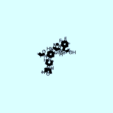 C=CC(=O)Nc1cc(Nc2cc(N[C@H](CCO)c3ccc(F)c(F)c3)ncn2)c(OC)cc1N1CCC(N2C[C@H]3C[C@@H]2CO3)CC1